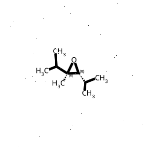 CC(C)[C@H]1O[C@]1(C)C(C)C